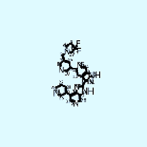 FC1(F)CCN(Cc2cncc(-c3cc4c(-c5nc6c(-c7cccnc7)cncc6[nH]5)n[nH]c4cn3)c2)C1